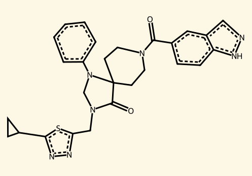 O=C(c1ccc2[nH]ncc2c1)N1CCC2(CC1)C(=O)N(Cc1nnc(C3CC3)s1)CN2c1ccccc1